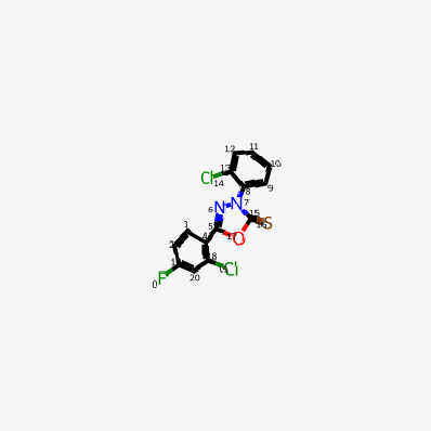 Fc1ccc(-c2nn(-c3ccccc3Cl)c(=S)o2)c(Cl)c1